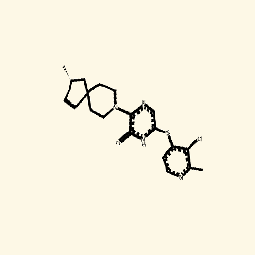 Cc1nccc(Sc2cnc(N3CCC4(CC[C@H](C)C4)CC3)c(=O)[nH]2)c1Cl